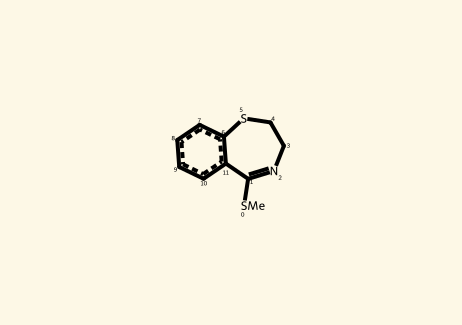 CSC1=NCCSc2ccccc21